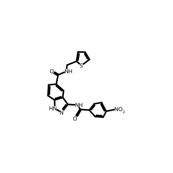 O=C(NCc1cccs1)c1ccc2[nH]nc(NC(=O)c3ccc([N+](=O)[O-])cc3)c2c1